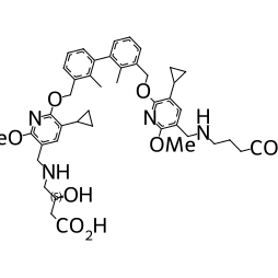 COc1nc(OCc2cccc(-c3cccc(COc4nc(OC)c(CNC[C@@H](O)CC(=O)O)cc4C4CC4)c3C)c2C)c(C2CC2)cc1CNCCCC(=O)O